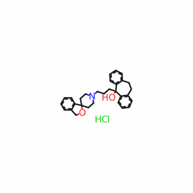 Cl.OC1(CCCN2CCC3(CC2)OCc2ccccc23)c2ccccc2CCc2ccccc21